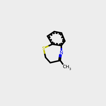 CC1=Nc2ccccc2SCC1